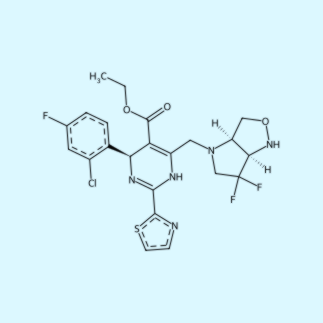 CCOC(=O)C1=C(CN2CC(F)(F)[C@@H]3NOC[C@@H]32)NC(c2nccs2)=N[C@H]1c1ccc(F)cc1Cl